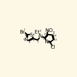 CCN(Cc1cnc(Br)s1)c1nc(Cl)ccc1[N+](=O)[O-]